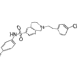 O=S(=O)(Nc1ccc(F)cc1)c1ccc2c(c1)CCN(CCc1ccc(Cl)cc1)C2